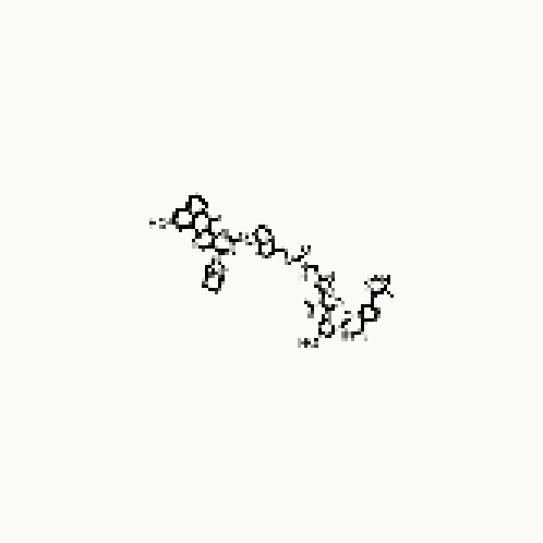 Cc1ncsc1-c1ccc([C@H](C)NC(=O)[C@@H]2C[C@@H](O)CN2C(=O)[C@@H](c2cc(CNC(=O)OCC3CC[C@@]4(COc5nc(N6CC7CCC(C6)N7)c6cnc7c(c6n5)C(C)c5cccc6cc(O)cc-7c56)CCCN34)no2)C(C)C)cc1